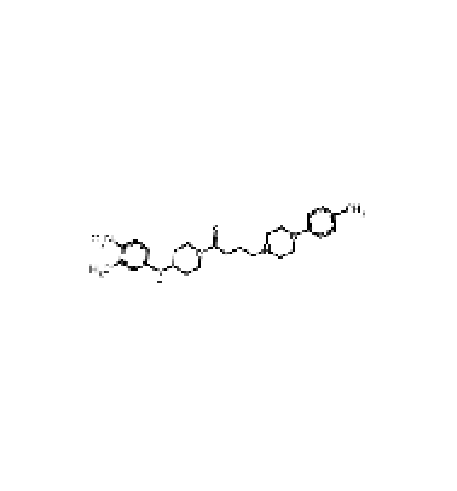 Cc1ccc(N2CCN(CCCC(=S)N3CCC(Nc4ccc([N+](=O)[O-])c(C)c4)CC3)CC2)cc1